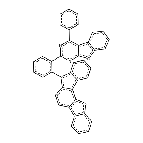 c1ccc(-c2nc(-c3ccccc3-n3c4ccccc4c4c5sc6ccccc6c5ccc43)nc3oc4ccccc4c23)cc1